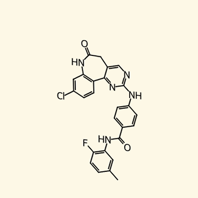 Cc1ccc(F)c(NC(=O)c2ccc(Nc3ncc4c(n3)-c3ccc(Cl)cc3NC(=O)C4)cc2)c1